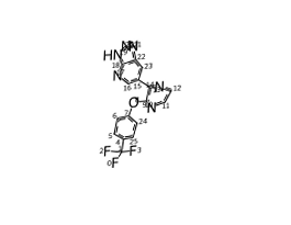 FC(F)(F)c1ccc(Oc2nccnc2-c2cnc3[nH]nnc3c2)cc1